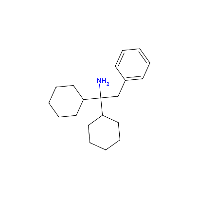 NC(Cc1ccccc1)(C1CCCCC1)C1CCCCC1